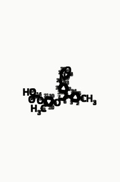 Cc1ccc(/C(=C/COc2ccc(OCC(=O)O)c(C)c2)c2ccc(CN3CCOCC3)cc2)cc1